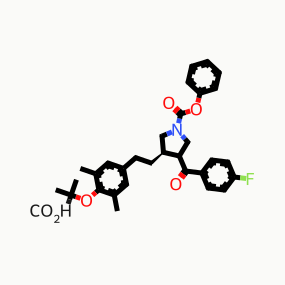 Cc1cc(CC[C@H]2CN(C(=O)Oc3ccccc3)CC2C(=O)c2ccc(F)cc2)cc(C)c1OC(C)(C)C(=O)O